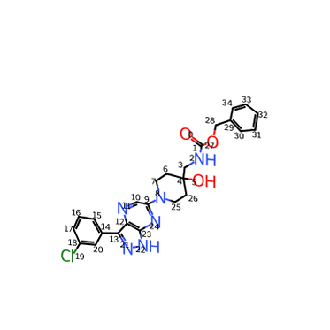 O=C(NCC1(O)CCN(c2cnc3c(-c4cccc(Cl)c4)n[nH]c3n2)CC1)OCc1ccccc1